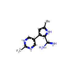 CCC(C)c1cc(-c2cnc(C(F)(F)F)nc2)c(C(=N)N)[nH]1